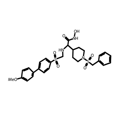 COc1ccc(-c2ccc(S(=O)(=O)CNC(C(=O)NO)C3CCN(S(=O)(=O)Cc4ccccc4)CC3)cc2)cc1